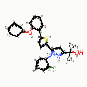 CC(C)(O)c1cc(-c2ccc(-c3ccccc3Oc3ccccc3)s2)n(-c2ccccc2Cl)n1